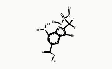 CCOP(=O)(OCC)C(F)(F)c1sc2c(B(O)O)cc(C(=O)OC(C)(C)C)cc2c1Br